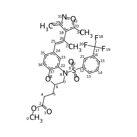 COC(=O)CCC1CN(S(=O)(=O)c2cccc(C(F)(F)F)c2)c2cc(C=C(C)c3c(C)noc3C)ccc2O1